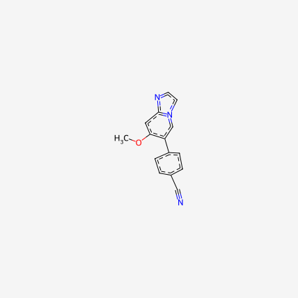 COc1cc2nccn2cc1-c1ccc(C#N)cc1